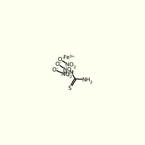 NC(N)=S.O=[N+]([O-])[O-].O=[N+]([O-])[O-].O=[N+]([O-])[O-].[Fe+3]